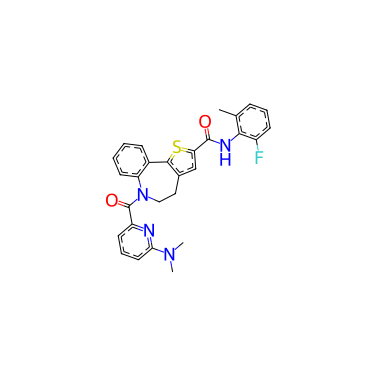 Cc1cccc(F)c1NC(=O)c1cc2c(s1)-c1ccccc1N(C(=O)c1cccc(N(C)C)n1)CC2